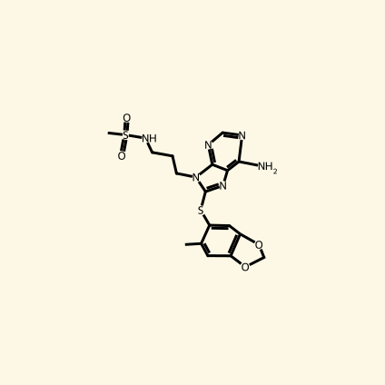 Cc1cc2c(cc1Sc1nc3c(N)ncnc3n1CCCNS(C)(=O)=O)OCO2